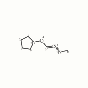 CN=S=CON1CCCC1